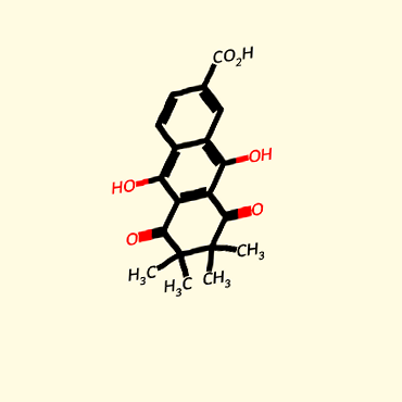 CC1(C)C(=O)c2c(c(O)c3cc(C(=O)O)ccc3c2O)C(=O)C1(C)C